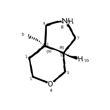 I[C@@]12CCOC[C@H]1CNC2